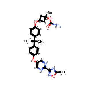 Cc1nc(-c2ncc(Oc3ccc(C(C)(C)c4ccc(OC5CC(OC(N)=O)(C(C)(C)C)C5)cc4)cc3)cn2)no1